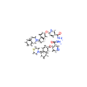 NC(=O)c1ccc(Oc2ccc3c(c2)CCC3N2CCc3ccccc3C2)nc1.NC(=O)c1cnccc1Oc1ccc2c(c1)CCCC2N1CCSCC1